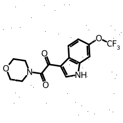 O=C(C(=O)N1CCOCC1)c1c[nH]c2cc(OC(F)(F)F)ccc12